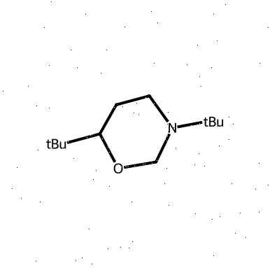 CC(C)(C)C1CCN(C(C)(C)C)CO1